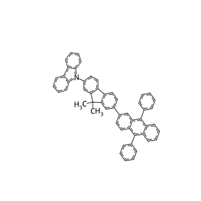 CC1(C)c2cc(-c3ccc4c(-c5ccccc5)c5ccccc5c(-c5ccccc5)c4c3)ccc2-c2ccc(-n3c4ccccc4c4ccccc43)cc21